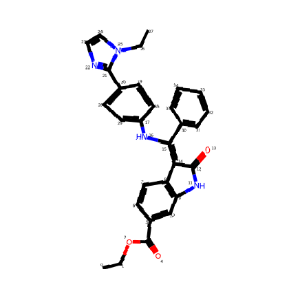 CCOC(=O)c1ccc2c(c1)NC(=O)C2=C(Nc1ccc(-c2nccn2CC)cc1)c1ccccc1